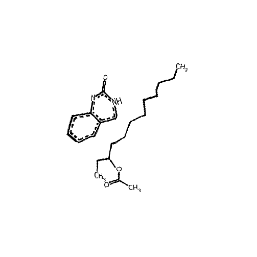 CCCCCCCCCC(CC)OC(C)=O.O=c1nc2ccccc2c[nH]1